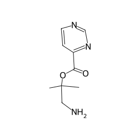 CC(C)(CN)OC(=O)c1ccncn1